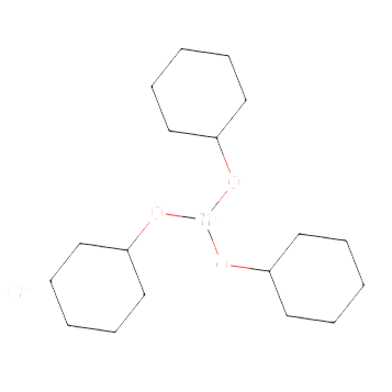 C1CCC([O][Ti+]([O]C2CCCCC2)[O]C2CCCCC2)CC1.[Cl-]